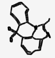 Cc1nc2cccc3c2n1-c1ccccc1S3(=O)=O